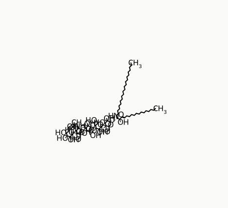 CCCCCCCCCCCCC/C=C/[C@@H](O)[C@H](CO[C@@H]1OC(CO)[C@@H](O[C@@H]2OC(CO)[C@H](O[C@@H]3OC(CO)[C@H](O)[C@H](O[C@@H]4OC(CO)[C@H](O[C@@H]5OC(CO)[C@H](O)[C@H](O)C5O)[C@H](O)C4NC(C)=O)C3O)[C@H](O)C2O)[C@H](O)C1O)NC(=O)CCCCCCCCCCCCCCCCCCCCC